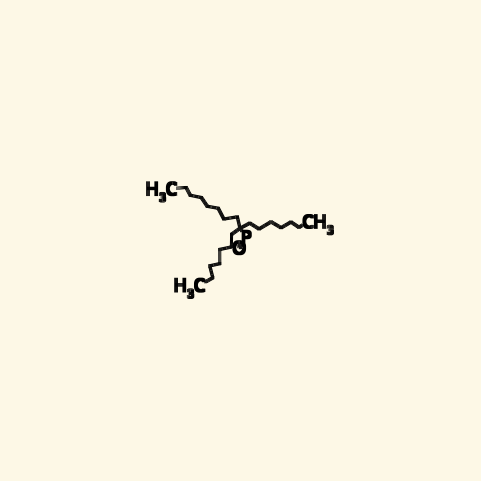 CCCCCCCCC(CCCCCCC)(CCCCCCC)P=O